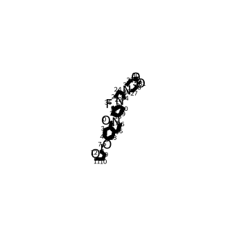 O=c1c2ccc(OC[C@H]3CCCO3)cc2ccn1-c1ccc(N2CCC(N3CCS(=O)(=O)CC3)C2)c(F)c1